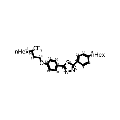 CCCCCCc1ccc(-c2nnc(-c3ccc(OCCC(CCCCCC)C(F)(F)F)cc3)s2)cc1